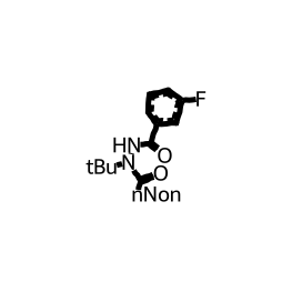 CCCCCCCCCC(=O)N(NC(=O)c1cccc(F)c1)C(C)(C)C